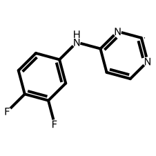 Fc1ccc(Nc2ccn[c]n2)cc1F